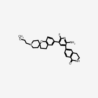 COCCN1CCC2(CCc3cc(-c4cc(-c5ccc6c(c5)CCNC6=O)c(N)nc4F)ccc3O2)CC1